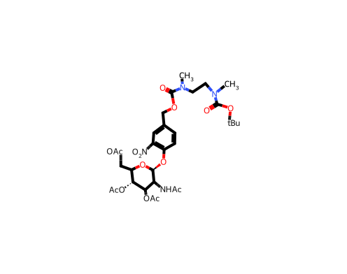 CC(=O)NC1C(OC(C)=O)[C@H](OC(C)=O)C(COC(C)=O)O[C@H]1Oc1ccc(COC(=O)N(C)CCN(C)C(=O)OC(C)(C)C)cc1[N+](=O)[O-]